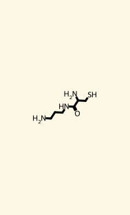 NCCCNC(=O)C(N)CS